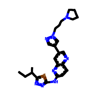 CCC(C)c1nnc(Nc2ccc3ncc(-c4cnn(CCCN5CCCC5)c4)cc3n2)s1